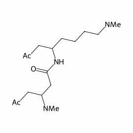 CNCCCCC(CC(C)=O)NC(=O)CC(CC(C)=O)NC